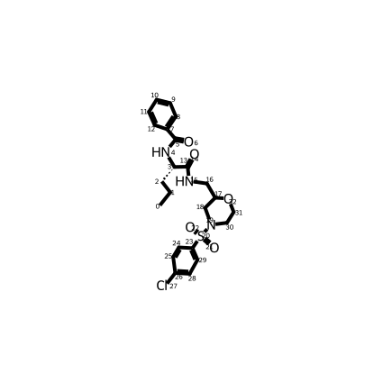 CCC[C@H](NC(=O)c1ccccc1)C(=O)NCC1CN(S(=O)(=O)c2ccc(Cl)cc2)CCO1